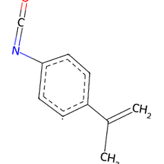 C=C(C)c1[c]cc(N=C=O)cc1